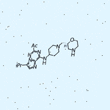 CC(=O)c1nc(NC2CCN(C[C@H]3CNCCO3)CC2)c2ncc(C(C)C)n2n1